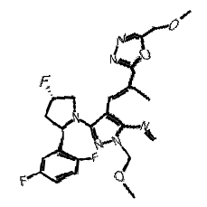 C=Nc1c(/C=C(\C)c2nnc(COC)o2)c(N2C[C@@H](F)C[C@@H]2c2cc(F)ccc2F)nn1COC